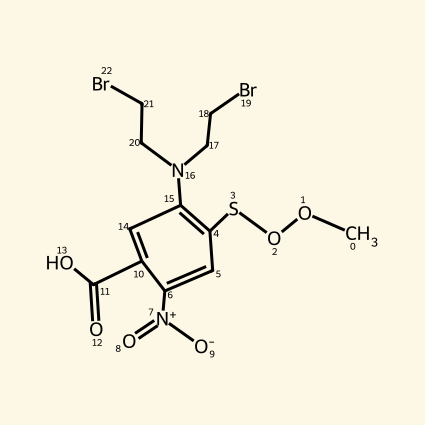 COOSc1cc([N+](=O)[O-])c(C(=O)O)cc1N(CCBr)CCBr